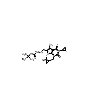 Cc1c(CNNC(=O)OC(C)(C)C)sc2c1c(=O)n(C1CC1)c(=O)n2CC1CC1(F)F